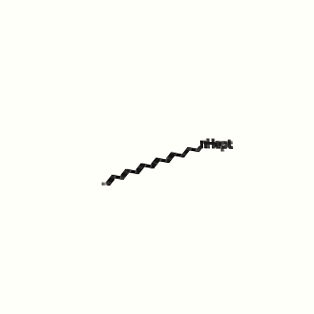 [CH]=CC=CC=CC=CC=CCCCCCCCCC[CH2]